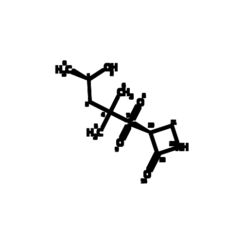 C[C@@H](O)CC(C)(C)S(=O)(=O)[C@H]1CNC1=O